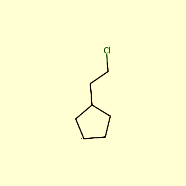 ClCCC1C[CH]CC1